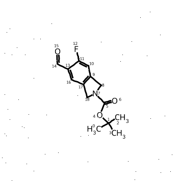 CC(C)(C)OC(=O)N1Cc2cc(F)c(C=O)cc2C1